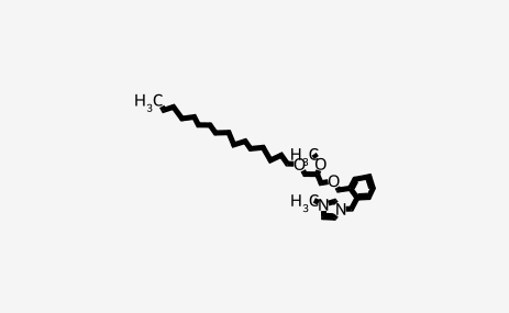 CCCCCCCCCCCCCCCCOCC(COCc1ccccc1CN1C=CN(C)C1)OC